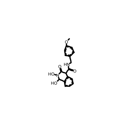 COc1ccc(CNC(=O)C2C(=O)N(O)C(O)c3ccccc32)cc1